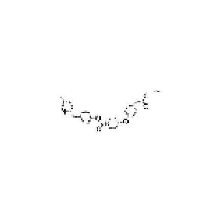 C=CCOC(=O)Cc1ccc(OC2CCN(C(=O)Oc3ccc(Cc4ccc(C)cn4)cc3)CC2)cc1